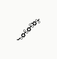 CCCOc1ccc(C(=O)Oc2ccc(C(=O)Oc3ccc(OC(C)=O)cc3C)cc2)cc1